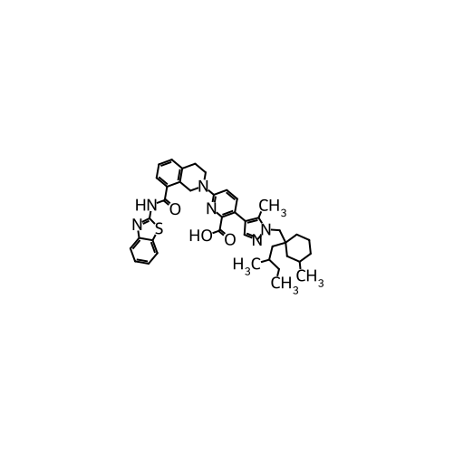 CCC(C)CC1(Cn2ncc(-c3ccc(N4CCc5cccc(C(=O)Nc6nc7ccccc7s6)c5C4)nc3C(=O)O)c2C)CCCC(C)C1